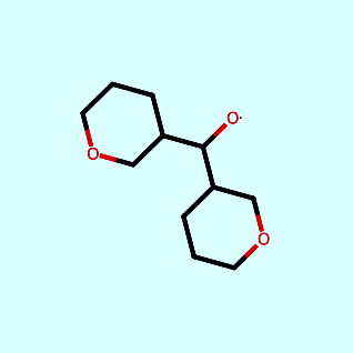 [O]C(C1CCCOC1)C1CCCOC1